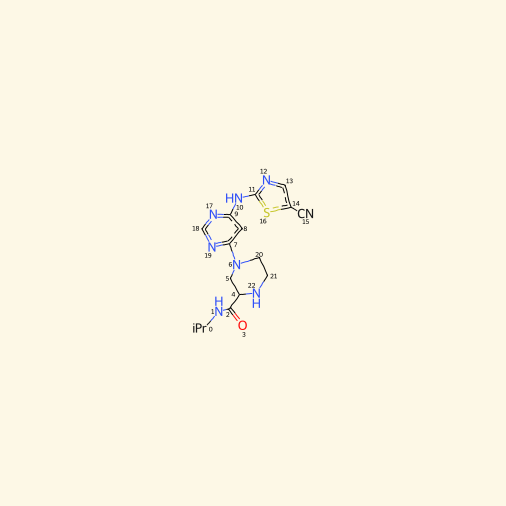 CC(C)NC(=O)C1CN(c2cc(Nc3ncc(C#N)s3)ncn2)CCN1